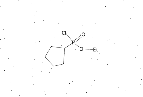 CCOP(=O)(Cl)C1CCCC1